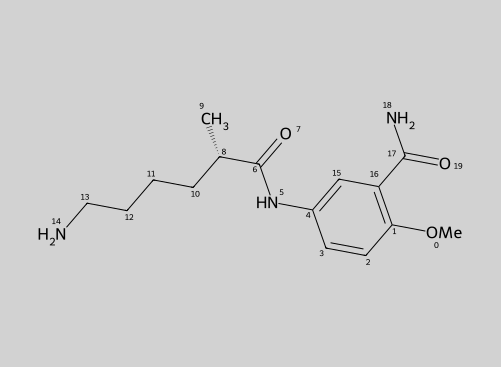 COc1ccc(NC(=O)[C@@H](C)CCCCN)cc1C(N)=O